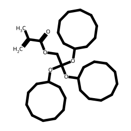 C=C(C)C(=O)OCC(OC1CCCCCCCCC1)(OC1CCCCCCCCC1)OC1CCCCCCCCC1